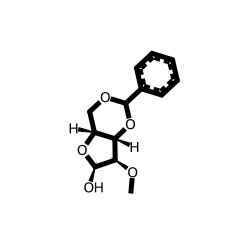 CO[C@@H]1[C@H]2OC(c3ccccc3)OC[C@H]2O[C@@H]1O